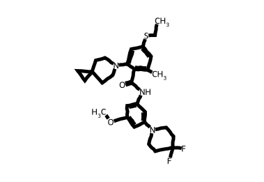 CCSc1cc(C)c(C(=O)Nc2cc(OC)cc(N3CCC(F)(F)CC3)c2)c(N2CCC3(CC2)CC3)c1